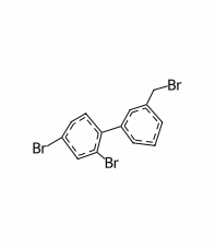 BrCc1cccc(-c2ccc(Br)cc2Br)c1